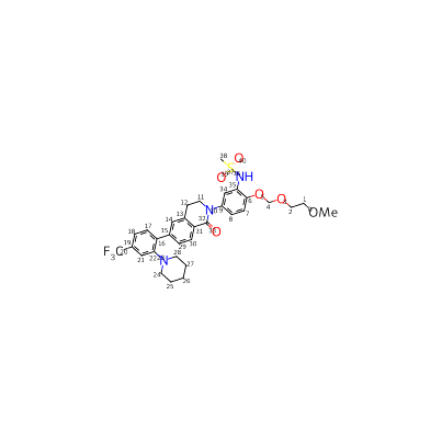 COCCOCOc1ccc(N2CCc3cc(-c4ccc(C(F)(F)F)cc4N4CCCCC4)ccc3C2=O)cc1NS(C)(=O)=O